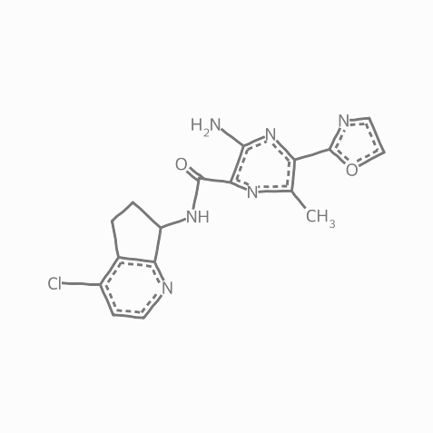 Cc1nc(C(=O)NC2CCc3c(Cl)ccnc32)c(N)nc1-c1ncco1